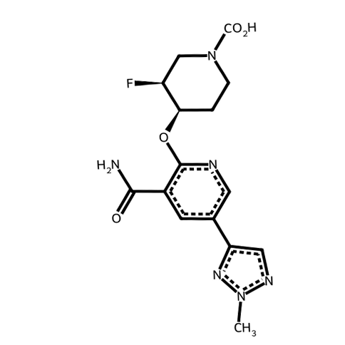 Cn1ncc(-c2cnc(O[C@@H]3CCN(C(=O)O)C[C@@H]3F)c(C(N)=O)c2)n1